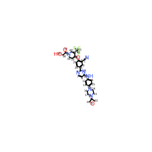 N#Cc1cc(-c2nccc(Nc3ccc(N4CCN(C5COC5)CC4)cc3)n2)ccc1O[C@H]1CCN(C(=O)CO)C[C@@H]1C(F)(F)F